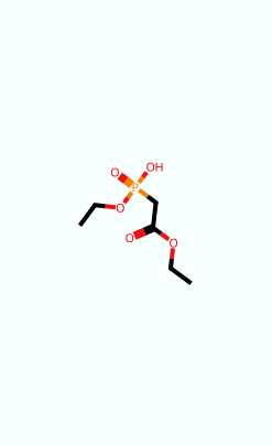 CCOC(=O)CP(=O)(O)OCC